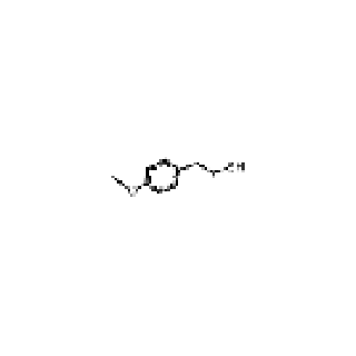 COc1ccc(C[CH]S)cc1